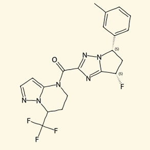 Cc1cccc([C@@H]2C[C@H](F)c3nc(C(=O)N4CCC(C(F)(F)F)n5nccc54)nn32)c1